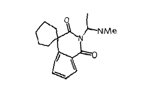 CNC(C)N1C(=O)c2ccccc2C2(CCCCC2)C1=O